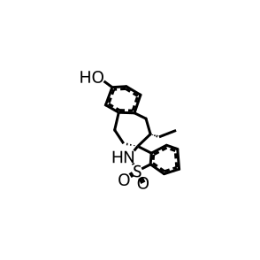 CC[C@H]1Cc2ccc(O)cc2CC[C@]12NS(=O)(=O)c1ccccc12